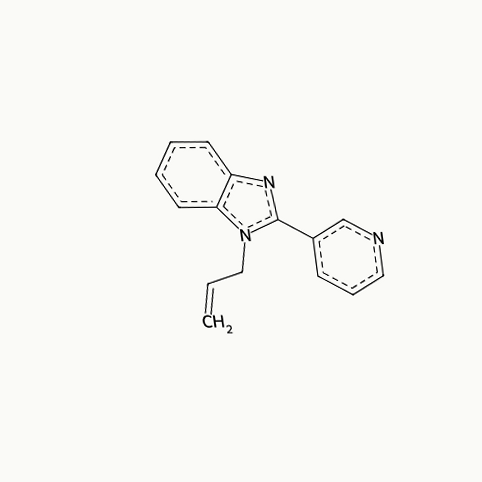 C=CCn1c(-c2cccnc2)nc2ccccc21